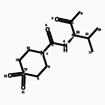 CC(=O)[C@@H](NC(=O)N1CCS(=O)(=O)CC1)C(C)C